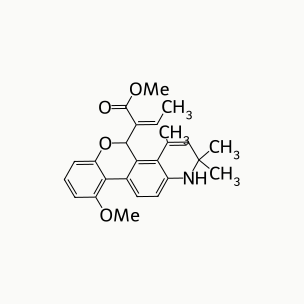 CC=C(C(=O)OC)C1Oc2cccc(OC)c2-c2ccc3c(c21)C(C)=CC(C)(C)N3